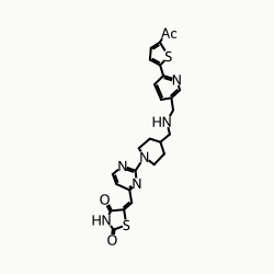 CC(=O)c1ccc(-c2ccc(CNCC3CCN(c4nccc(/C=C5/SC(=O)NC5=O)n4)CC3)cn2)s1